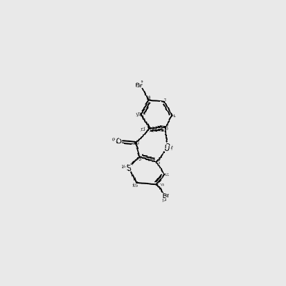 O=c1c2c(oc3ccc(Br)cc13)C=C(Br)CS2